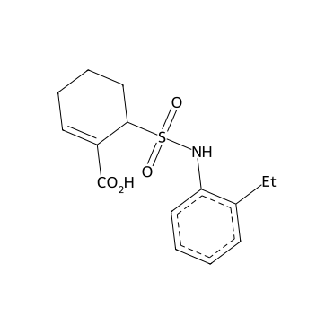 CCc1ccccc1NS(=O)(=O)C1CCCC=C1C(=O)O